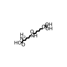 NC(CCCCNC(=O)CCCCCON(O)O)C(=O)O